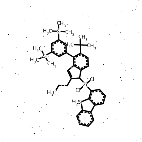 CCCC1=Cc2c(ccc(C(C)(C)C)c2-c2cc([Si](C)(C)C)cc([Si](C)(C)C)c2)[CH]1[Zr]([Cl])([Cl])[c]1cccc2c1[SiH2]c1ccccc1-2